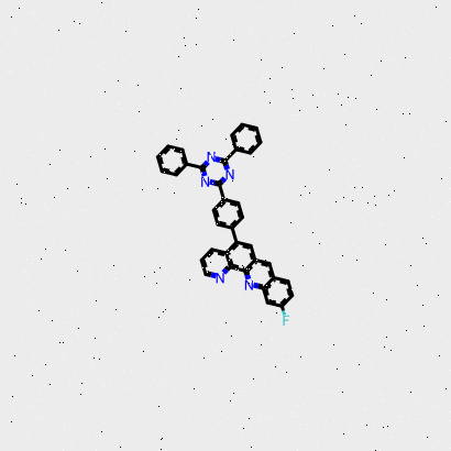 Fc1ccc2cc3cc(-c4ccc(-c5nc(-c6ccccc6)nc(-c6ccccc6)n5)cc4)c4cccnc4c3nc2c1